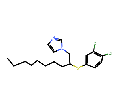 CCCCCCCCC(Cn1ccnc1)Sc1ccc(Cl)c(Cl)c1